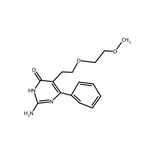 COCCOCCc1c(-c2ccccc2)nc(N)[nH]c1=O